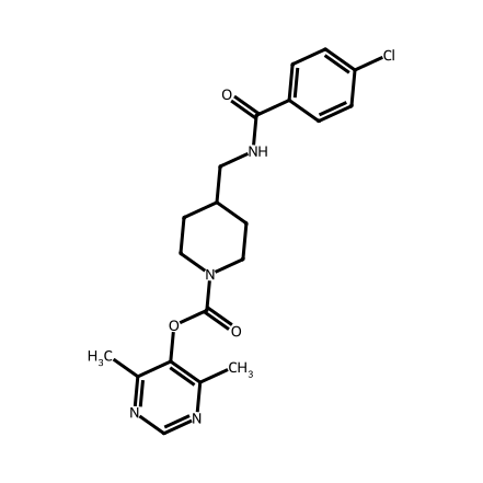 Cc1ncnc(C)c1OC(=O)N1CCC(CNC(=O)c2ccc(Cl)cc2)CC1